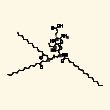 CCCCCCCCCCCCCCCC(=O)N[C@@H](CSC[C@@H](CCC(=O)CCCCCCCCCCC)CC(=O)CCCCCCCCCCC)C(=O)N[C@@H](CC)C(=O)N[C@H](CCC(=O)O)C(N)=O